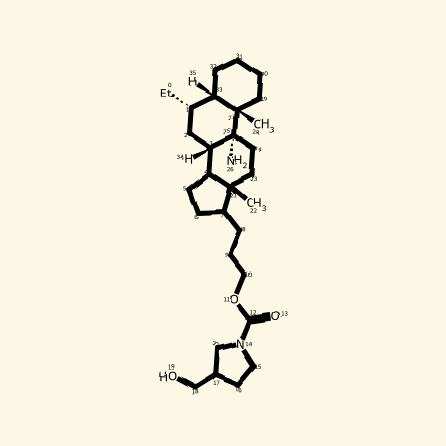 CC[C@H]1C[C@H]2C3CCC(CCCOC(=O)N4CCC(CO)C4)C3(C)CC[C@]2(N)[C@@]2(C)CCCC[C@@H]12